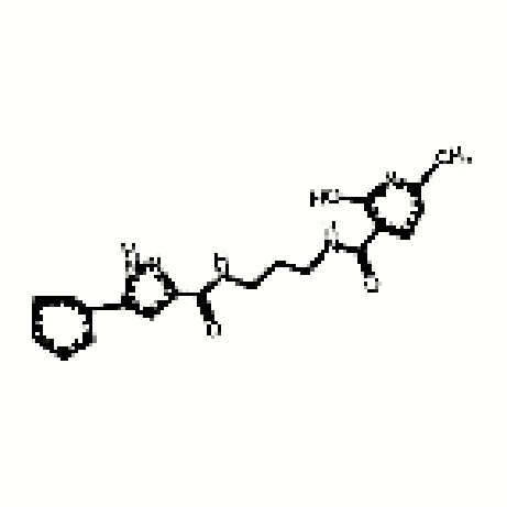 Cc1ccc(C(=O)NCCCNC(=O)c2cc(-c3ccccc3)[nH]n2)c(O)n1